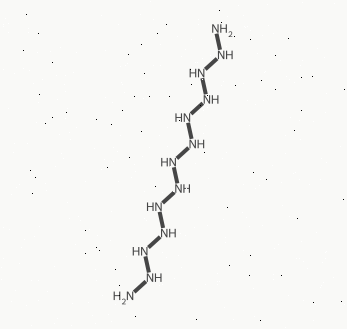 NNNNNNNNNNNNN